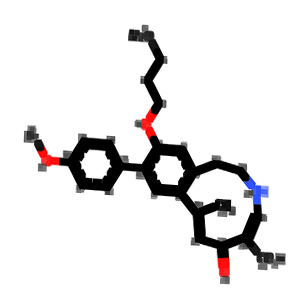 COCCCOc1cc2c(cc1-c1ccc(OC(C)C)cc1)/C(C)=C/C(=O)/C(C(=O)O)=C\NCC2